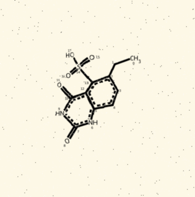 CCc1ccc2[nH]c(=O)[nH]c(=O)c2c1S(=O)(=O)O